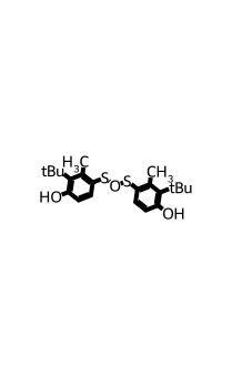 Cc1c(SOSc2ccc(O)c(C(C)(C)C)c2C)ccc(O)c1C(C)(C)C